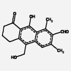 Cc1cc2c(CO)c3c(c(O)c2c(C)c1C=O)C(=O)CCC3